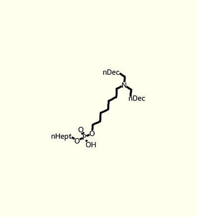 CCCCCCCCCCCN(CCCCCCCCCCC)CCCCCCCOP(=O)(O)OCCCCCCC